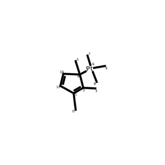 CC1=C(C)[C](C)([Pt]([CH3])([CH3])[CH3])C=C1